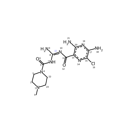 CN1CCN(C(=O)N/C(N)=N\C(=O)c2nc(Cl)c(N)nc2N)CC1